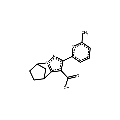 Cc1cccc(-c2nn3c(c2C(=O)O)C2CCC3C2)n1